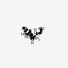 CCCC1(N)CNCCO1.COC(C)COC(C)CO.COC(C)COC(C)COC(C)CO.COCC(C)O.C[N+](C)(C)C.OCC1CCCO1.[OH-]